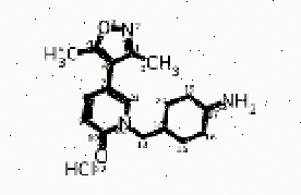 Cc1noc(C)c1-c1ccc(=O)n(CC2CCC(N)CC2)c1.Cl